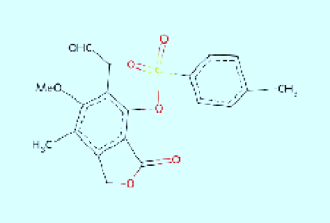 COc1c(C)c2c(c(OS(=O)(=O)c3ccc(C)cc3)c1CC=O)C(=O)OC2